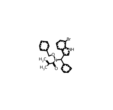 C=C(C)C(=O)N(OCc1ccccc1)C(c1ccccc1)c1c[nH]c2c(Br)cccc12